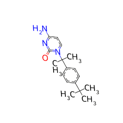 CC(C)(C)c1ccc(C(C)(C)n2ccc(N)nc2=O)cc1